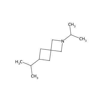 CC(C)C1CC2(C1)CN(C(C)C)C2